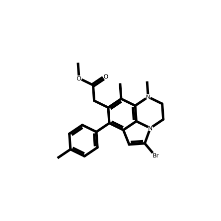 COC(=O)Cc1c(C)c2c3c(cc(Br)n3CCN2C)c1-c1ccc(C)cc1